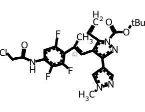 C=Cc1c(/C=C(\C)c2c(F)cc(NC(=O)CCl)c(F)c2F)c(-c2cnn(C)c2)nn1C(=O)OC(C)(C)C